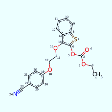 CCOC(=O)Oc1sc2ccccc2c1OCCOc1ccc(C#N)cc1